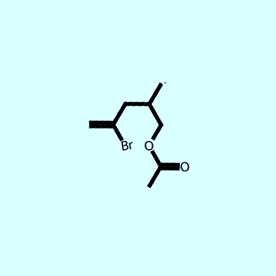 [CH2]C(COC(C)=O)CC(=C)Br